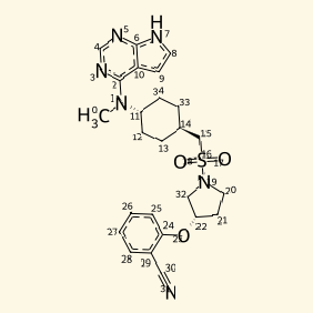 CN(c1ncnc2[nH]ccc12)[C@H]1CC[C@H](CS(=O)(=O)N2CC[C@H](Oc3ccccc3C#N)C2)CC1